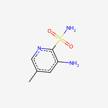 Cc1cnc(S(N)(=O)=O)c(N)c1